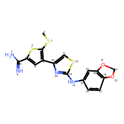 CSc1sc(C(=N)N)cc1-c1csc(Nc2ccc3c(c2)OCO3)n1